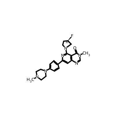 CN1CCN(c2ccc(-c3cc4ncn(C)c(=O)c4c(N4CC[C@@H](F)C4)n3)cc2)CC1